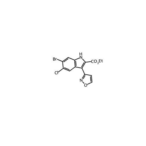 CCOC(=O)c1[nH]c2cc(Br)c(Cl)cc2c1-c1ccon1